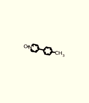 Cc1ccc(-c2cc[n+]([O-])cc2)cc1